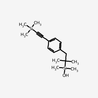 CC(C)(Cc1ccc(C#C[Si](C)(C)C)cc1)[Si](C)(C)O